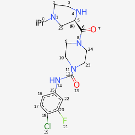 CC(C)N1CCN[C@@H](C(=O)N2CCN(C(=O)Nc3ccc(Cl)c(F)c3)CC2)C1